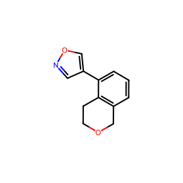 c1cc2c(c(-c3cnoc3)c1)CCOC2